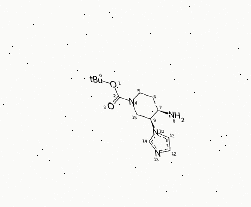 CC(C)(C)OC(=O)N1CC[C@@H](N)[C@@H](n2ccnc2)C1